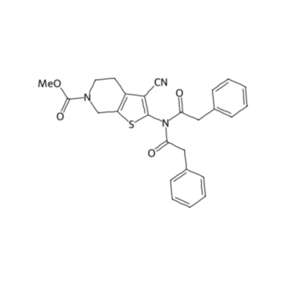 COC(=O)N1CCc2c(sc(N(C(=O)Cc3ccccc3)C(=O)Cc3ccccc3)c2C#N)C1